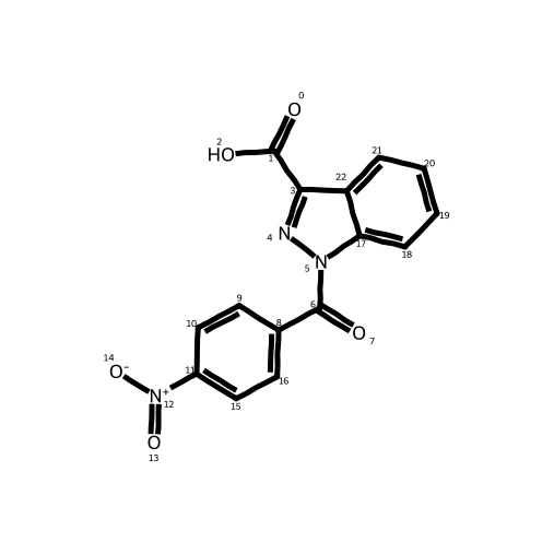 O=C(O)c1nn(C(=O)c2ccc([N+](=O)[O-])cc2)c2ccccc12